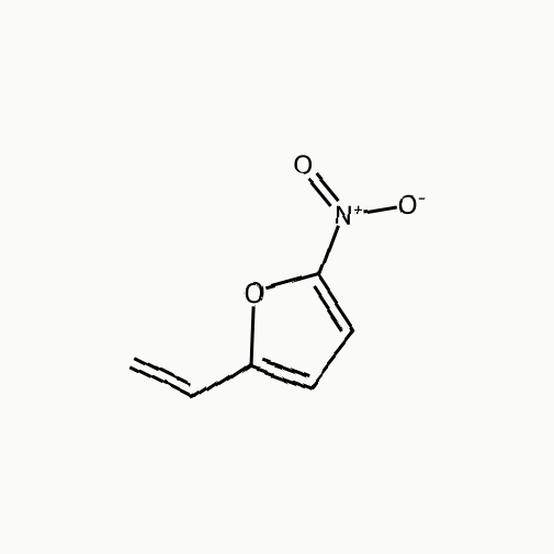 C=Cc1ccc([N+](=O)[O-])o1